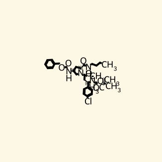 CCCCNC(=O)[C@@H]1C[C@H](NC(=O)OCc2ccccc2)CN1C(=O)C[C@H](c1ccc(Cl)cc1)N(C)C(=O)OC(C)(C)C